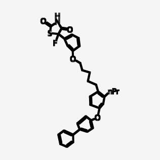 CCCc1cc(Oc2ccc(-c3ccccc3)cc2)ccc1CCCCCOc1cccc(C2(F)SC(=O)NC2=O)c1